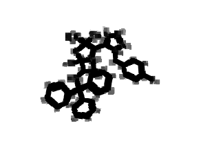 CC1(C)S[C@H]2C(NC(c3ccccc3)(c3ccccc3)c3ccccc3)C(=O)N2C1c1nnnn1Cc1ccc(F)cc1